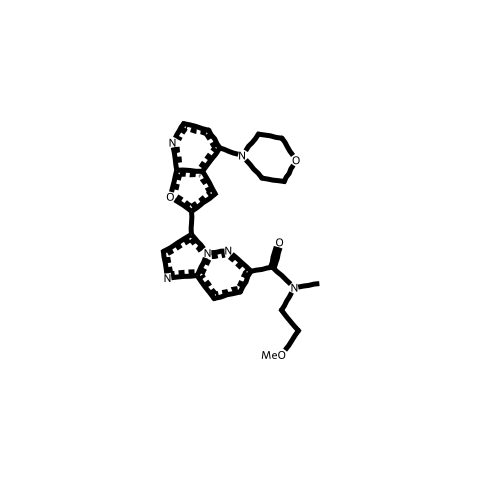 COCCN(C)C(=O)c1ccc2ncc(-c3cc4c(N5CCOCC5)ccnc4o3)n2n1